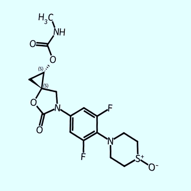 CNC(=O)O[C@H]1C[C@]12CN(c1cc(F)c(N3CC[S+]([O-])CC3)c(F)c1)C(=O)O2